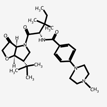 CCC(C)(C)[C@H](NC(=O)c1ccc(N2CCN(C)CC2)cc1)C(=O)N1C[C@H](C(C)(C)C)[C@H]2OCC(=O)[C@H]21